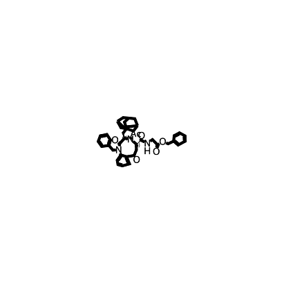 CC(=O)N1[C@H](CC23CC4CC(CC(C4)C2)C3)C(=O)N(Cc2ccccc2)c2ccccc2C(=O)C[C@H]1C(=O)NCC(=O)OCc1ccccc1